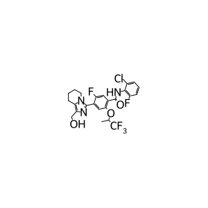 CC(Oc1cc(-c2nc(CO)c3n2CCCC3)c(F)cc1C(=O)Nc1c(F)cccc1Cl)C(F)(F)F